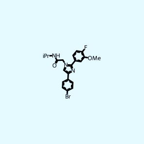 COc1cc(-c2nc(-c3ccc(Br)cc3)cn2CC(=O)NC(C)C)ccc1F